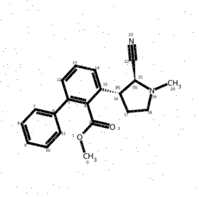 COC(=O)c1c(-c2ccccc2)cccc1[C@H]1CCN(C)[C@@H]1C#N